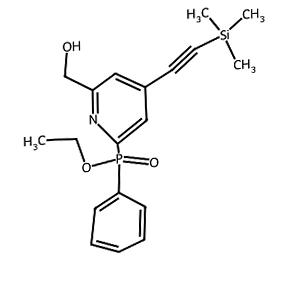 CCOP(=O)(c1ccccc1)c1cc(C#C[Si](C)(C)C)cc(CO)n1